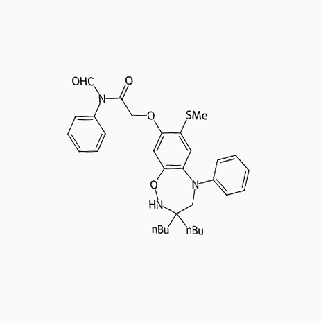 CCCCC1(CCCC)CN(c2ccccc2)c2cc(SC)c(OCC(=O)N(C=O)c3ccccc3)cc2ON1